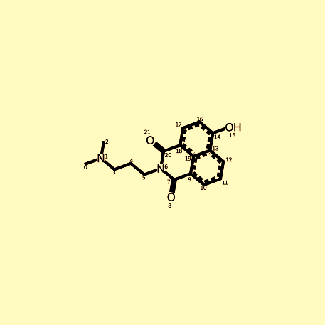 CN(C)CCCN1C(=O)c2cccc3c(O)ccc(c23)C1=O